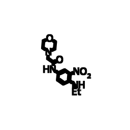 CCNc1ccc(NC(=O)CN2CCOCC2)cc1[N+](=O)[O-]